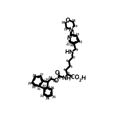 O=C(NC(CCCCNCc1ccc(N2CCOCC2)nc1)C(=O)O)OCC1c2ccccc2-c2ccccc21